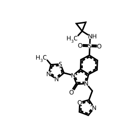 Cc1nnc(-n2c(=O)n(Cc3ncco3)c3ccc(S(=O)(=O)NC4(C)CC4)cc32)s1